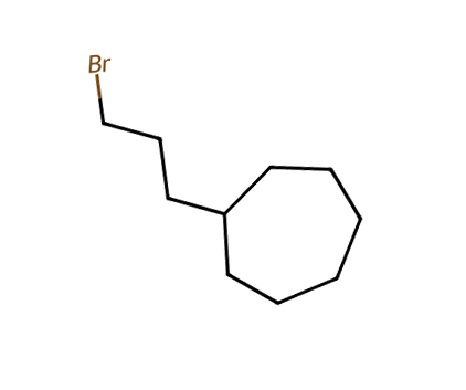 BrCCCC1CCCCCC1